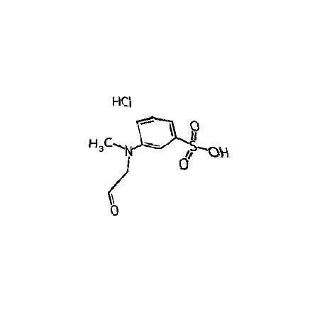 CN(CC=O)c1cccc(S(=O)(=O)O)c1.Cl